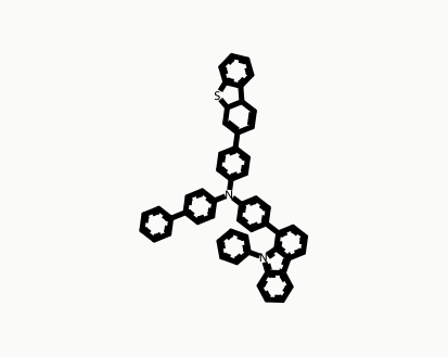 C1=CC2c3ccccc3SC2C=C1c1ccc(N(c2ccc(-c3ccccc3)cc2)c2ccc(-c3cccc4c5ccccc5n(-c5ccccc5)c34)cc2)cc1